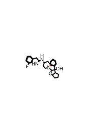 N=C(Cc1cccc(F)c1)NC1CCN(C(=O)[C@](O)(c2ccccc2)C2CCCC2)CC1